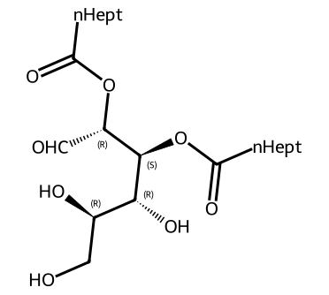 CCCCCCCC(=O)O[C@@H]([C@H](O)[C@H](O)CO)[C@H](C=O)OC(=O)CCCCCCC